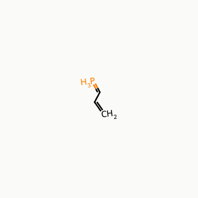 C=CC=[PH3]